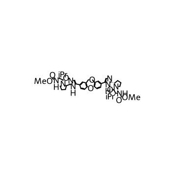 COC(=O)N[C@H](C(=O)N1CCCC1c1ncc(-c2ccc3c(c2)COc2cc(-c4cnc([C@@H]5CCCN5C(=O)[C@@H](NC(=O)OC)C(C)C)[nH]4)ccc2O3)[nH]1)C(C)C